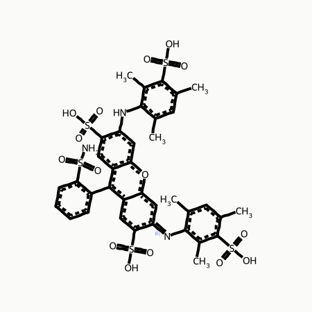 Cc1cc(C)c(S(=O)(=O)O)c(C)c1/N=c1\cc2oc3cc(Nc4c(C)cc(C)c(S(=O)(=O)O)c4C)c(S(=O)(=O)O)cc3c(-c3ccccc3S(N)(=O)=O)c-2cc1S(=O)(=O)O